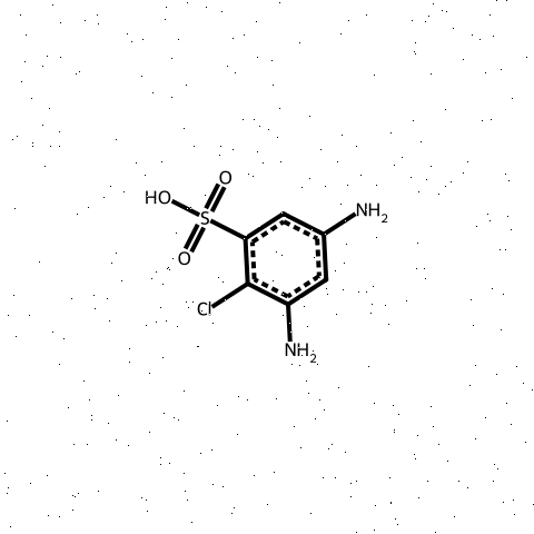 Nc1cc(N)c(Cl)c(S(=O)(=O)O)c1